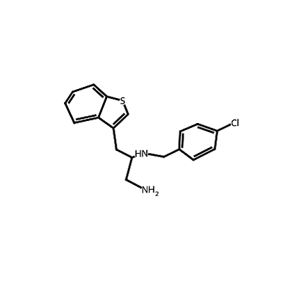 NCC(Cc1csc2ccccc12)NCc1ccc(Cl)cc1